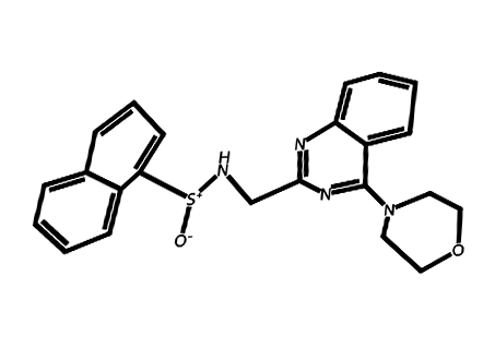 [O-][S+](NCc1nc(N2CCOCC2)c2ccccc2n1)c1cccc2ccccc12